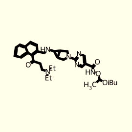 CCN(CC)CCC(=O)c1c(CNC2C3CN(c4ncc(C(=O)NOC(C)OCC(C)C)cn4)CC32)ccc2ccccc12